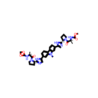 COC(=O)N[C@@H](C)C(=O)N1CCC[C@H]1c1ncc(-c2ccc3c4ccc(-c5cnc([C@@H]6CCCN6C(=O)[C@H](C)NC6OCO6)[nH]5)cc4n(C)c3c2)[nH]1